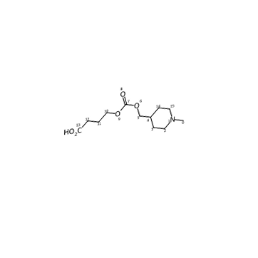 CN1CCC(COC(=O)OCCCC(=O)O)CC1